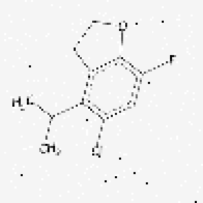 CC(C)c1c(Cl)cc(F)c2c1CCO2